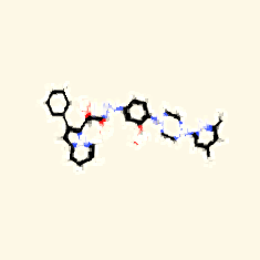 COc1cc(NC(=O)C(=O)c2c(C3CCCCC3)cc3ccccn23)ccc1N1CCN(c2cc(C)cc(C)n2)CC1